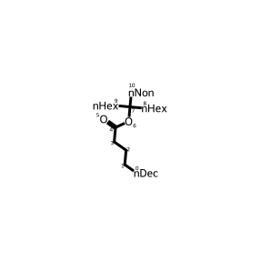 CCCCCCCCCCCCCC(=O)OC(CCCCCC)(CCCCCC)CCCCCCCCC